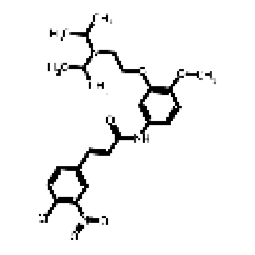 COc1ccc(NC(=O)C=Cc2ccc(Cl)c([N+](=O)[O-])c2)cc1OCCN(C(C)C)C(C)C